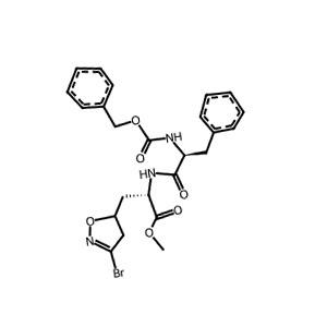 COC(=O)[C@H](CC1CC(Br)=NO1)NC(=O)[C@H](Cc1ccccc1)NC(=O)OCc1ccccc1